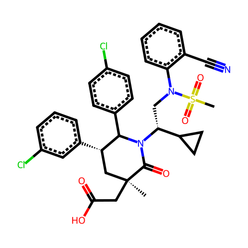 C[C@]1(CC(=O)O)C[C@H](c2cccc(Cl)c2)C(c2ccc(Cl)cc2)N([C@H](CN(c2ccccc2C#N)S(C)(=O)=O)C2CC2)C1=O